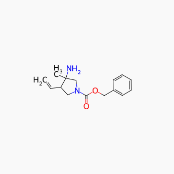 C=CC1CN(C(=O)OCc2ccccc2)CC1(C)N